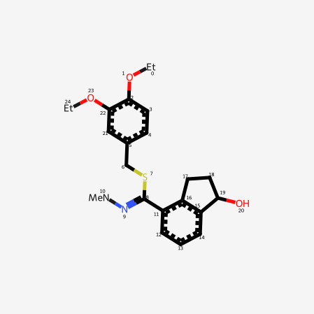 CCOc1ccc(CS/C(=N\NC)c2cccc3c2CCC3O)cc1OCC